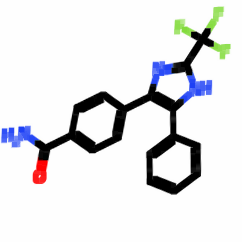 NC(=O)c1ccc(-c2nc(C(F)(F)F)[nH]c2-c2ccccc2)cc1